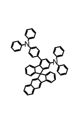 c1ccc(N(c2ccccc2)c2ccc(-c3cc(N(c4ccccc4)c4ccccc4)cc4c3-c3ccccc3C43c4ccccc4-c4cc5ccccc5cc43)cc2)cc1